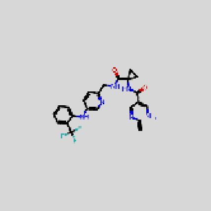 C=C/N=C\C(=C/N)C(=O)NC1(C(=O)NCc2ccc(Nc3ccccc3C(F)(F)F)cn2)CC1